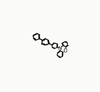 c1ccc(-c2ccc(-c3ccc(N4c5ccccc5Oc5ccccc54)cc3)cc2)cc1